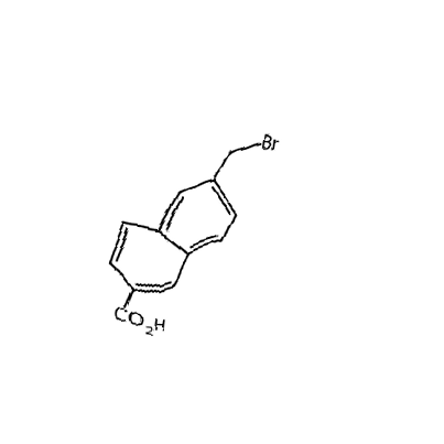 O=C(O)c1ccc2cc(CBr)ccc2c1